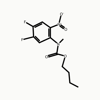 CCCCOC(=O)N(C)c1cc(F)c(F)cc1[N+](=O)[O-]